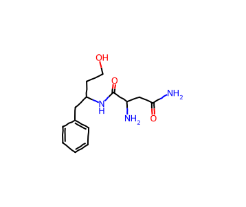 NC(=O)CC(N)C(=O)NC(CCO)Cc1ccccc1